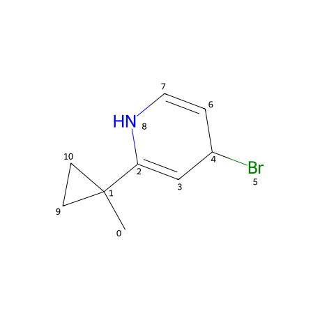 CC1(C2=CC(Br)C=CN2)CC1